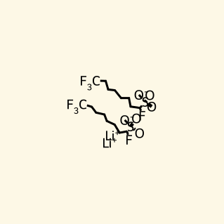 O=S(=O)([O-])C(F)CCCCCCC(F)(F)F.O=S(=O)([O-])C(F)CCCCCCC(F)(F)F.[Li+].[Li+]